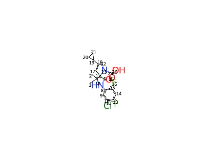 CC(C)(C)C1(C(=O)Nc2cc(Cl)c(F)cc2F)C=C(C2CC2)CN1C(=O)O